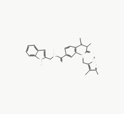 Cc1nn(C)c(CN2C(=O)C(C)C(C)c3ccc(C(=O)NCc4cc5ccccc5[nH]4)cc32)c1C